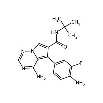 CC(C)(C)NC(=O)c1cn2ncnc(N)c2c1-c1ccc(N)c(F)c1